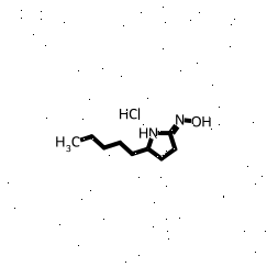 CCCCCC1CCC(=NO)N1.Cl